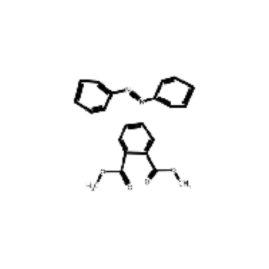 COC(=O)c1ccccc1C(=O)OC.c1ccc(N=Nc2ccccc2)cc1